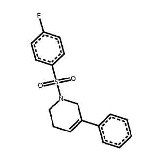 O=S(=O)(c1ccc(F)cc1)N1CCC=C(c2ccccc2)C1